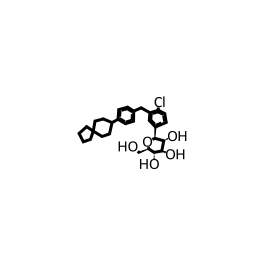 OC[C@H]1O[C@@H](c2ccc(Cl)c(Cc3ccc(C4CCC5(CCCC5)CC4)cc3)c2)[C@H](O)[C@@H](O)[C@@H]1O